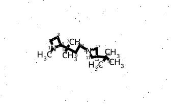 CN1CCC1C(C)(C)CCN1CC(C(C)(C)C)C1